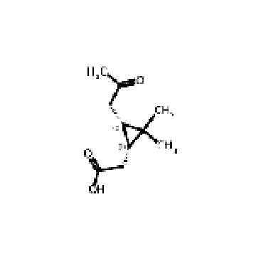 CC(=O)C[C@H]1[C@@H](CC(=O)O)C1(C)C